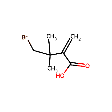 C=C(C(=O)O)C(C)(C)CBr